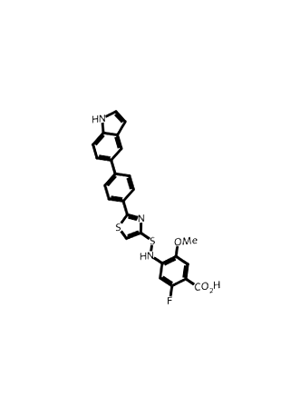 COc1cc(C(=O)O)c(F)cc1NSc1csc(-c2ccc(-c3ccc4[nH]ccc4c3)cc2)n1